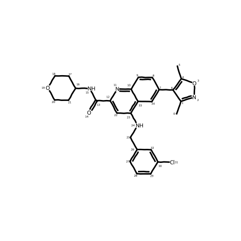 Cc1noc(C)c1-c1ccc2nc(C(=O)NC3CCOCC3)cc(NCc3cccc(Cl)c3)c2c1